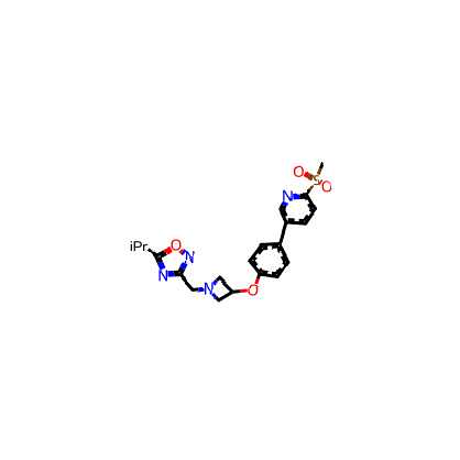 CC(C)c1nc(CN2CC(Oc3ccc(-c4ccc(S(C)(=O)=O)nc4)cc3)C2)no1